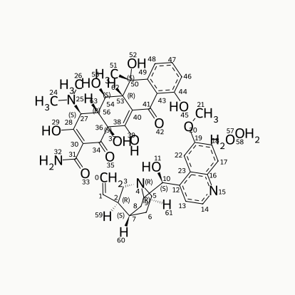 C=C[C@H]1C[N@]2CC[C@H]1C[C@@H]2[C@@H](O)c1ccnc2ccc(OC)cc12.CN(C)[C@@H]1C(O)=C(C(N)=O)C(=O)[C@@]2(O)C(O)=C3C(=O)c4c(O)cccc4[C@@](C)(O)[C@H]3[C@H](O)[C@@H]12.O.O